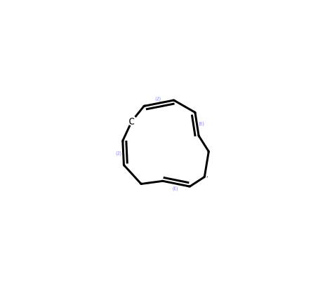 [CH]1/C=C/C/C=C\C/C=C\C=C\C1